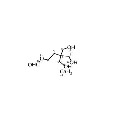 O=COCCC(CO)(CO)CO.[CaH2]